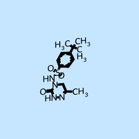 CC1=NNC(=O)N(NS(=O)(=O)c2ccc(C(C)(C)C)cc2)C1